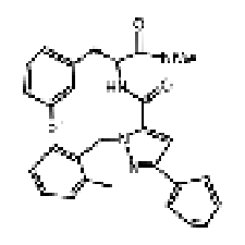 CNC(=O)[C@H](Cc1cccc(Br)c1)NC(=O)c1cc(-c2ccccc2)nn1Cc1ccccc1C